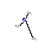 CCCCCCCCCCCCc1n(CCCC)cc[n+]1CCCC